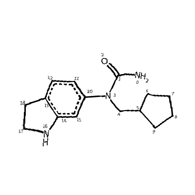 NC(=O)N(CC1CCCC1)c1ccc2c(c1)NCC2